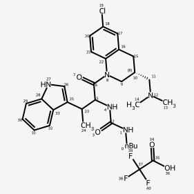 CCCCNC(=O)NC(C(=O)N1C[C@@H](CN(C)C)Cc2cc(Cl)ccc21)C(C)c1c[nH]c2ccccc12.O=C(O)C(F)(F)F